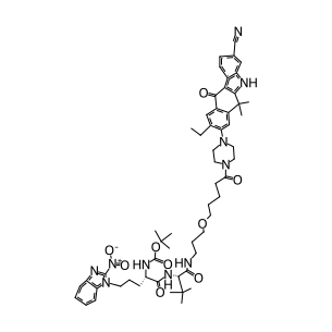 CCc1cc2c(cc1N1CCN(C(=O)CCCCOCCCNC(=O)[C@@H](NC(=O)[C@H](CCCn3c([N+](=O)[O-])nc4ccccc43)NC(=O)OC(C)(C)C)C(C)(C)C)CC1)C(C)(C)c1[nH]c3cc(C#N)ccc3c1C2=O